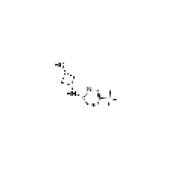 CC(C)(C)c1ccc(NC2CC(O)C2)nc1